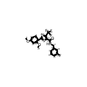 COc1ccc(-c2nc(C(F)(F)F)c(C(=O)NCc3cccc(F)c3)s2)c(OC)c1